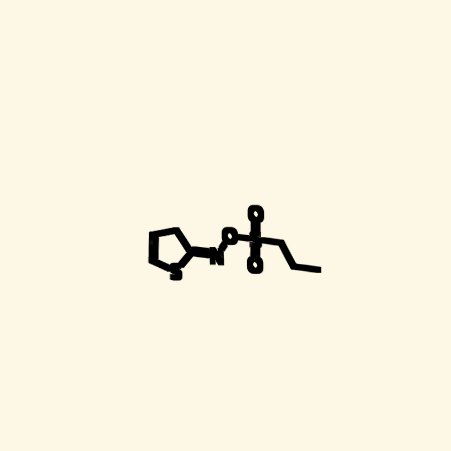 CCCS(=O)(=O)O/N=C1\CC=CS1